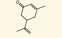 C=C(C)C1CC(=O)C=C(C)C1